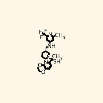 Cc1cc(NC[C@@H]2CCCN([C@@](C)(S)c3ccc4c(n3)OCCO4)C2)cc(C(F)(F)F)n1